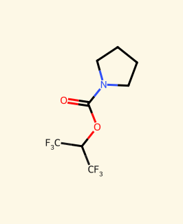 O=C(OC(C(F)(F)F)C(F)(F)F)N1CCCC1